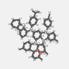 Cc1ccc(-c2cc(C)ccc2N2c3ccc(C)cc3B3c4cc(C)ccc4N(c4ccc(C)cc4)c4cc(N(c5ccc(C(C)C)cc5)c5cccc6c5oc5ccccc56)cc2c43)cc1